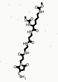 BSC1CC(=O)N(CCC(=O)NCCNC(=O)CCNC(=O)C(CCCCNC(=O)OC)NC(=O)OC)C1=O